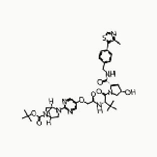 Cc1ncsc1-c1ccc(CNC(=O)[C@@H]2C[C@@H](O)CN2C(=O)[C@@H](NC(=O)COc2cnc(N3C[C@H]4C[C@@H]3CN4C(=O)OC(C)(C)C)nc2)C(C)(C)C)cc1